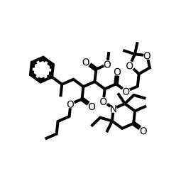 CCCCOC(=O)C(CC(C)c1ccccc1)C(C(=O)OC)C(ON1C(C)(CC)CC(=O)C(C)C1(C)CC)C(=O)OCC1COC(C)(C)O1